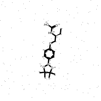 CC[C@@H](COc1ccc(B2OC(C)(C)C(C)(C)O2)cc1)NC(=O)O